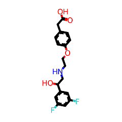 O=C(O)Cc1ccc(OCCNCC(O)c2cc(F)cc(F)c2)cc1